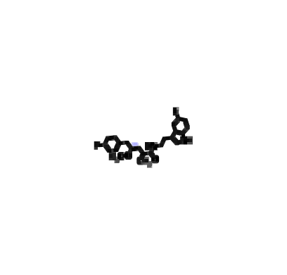 C=C(/C=C(/Cc1ccc(F)cc1)OC)C(=O)NCCc1c[nH]c2ccc(F)cc12